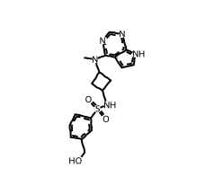 CN(c1ncnc2[nH]ccc12)C1CC(NS(=O)(=O)c2cccc(CO)c2)C1